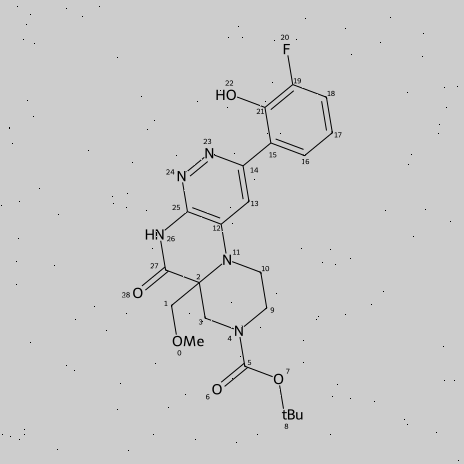 COCC12CN(C(=O)OC(C)(C)C)CCN1c1cc(-c3cccc(F)c3O)nnc1NC2=O